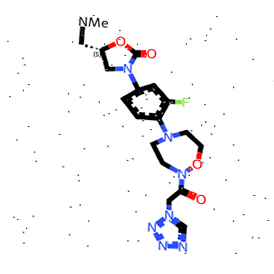 CNC[C@H]1CN(c2ccc(N3CCON(C(=O)Cn4cnnn4)CC3)c(F)c2)C(=O)O1